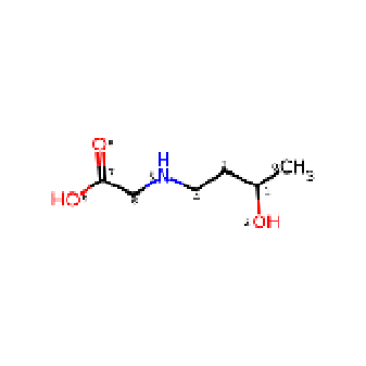 CC(O)CCNCC(=O)O